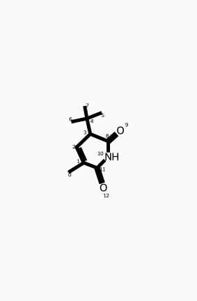 CC1=CC(C(C)(C)C)C(=O)NC1=O